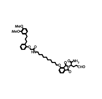 COc1ccc(CCCc2ccccc2OCC(=O)NCCCCCCCCCCOc2cccc3c2C(=O)N(C(CCC=O)C(N)=O)C3=O)cc1OC